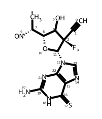 C#C[C@@]1(F)C(O)[C@@H]([C@@H](C)N=O)O[C@H]1n1cnc2c(=S)[nH]c(N)nc21